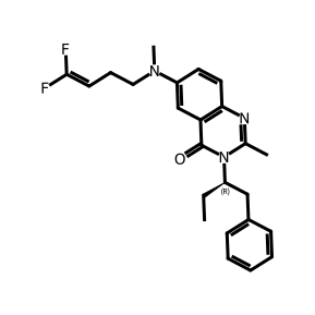 CC[C@H](Cc1ccccc1)n1c(C)nc2ccc(N(C)CCC=C(F)F)cc2c1=O